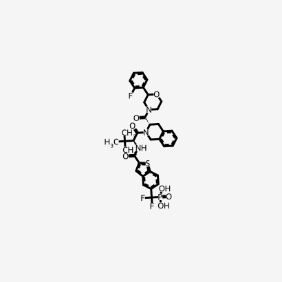 CC(C)(C)[C@H](NC(=O)c1cc2cc(C(F)(F)P(=O)(O)O)ccc2s1)C(=O)N1Cc2ccccc2C[C@H]1C(=O)N1CCOC(c2ccccc2F)C1